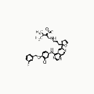 CC(C)C(CNCCCC1(c2cc3c(Nc4ccc(OCc5cccc(F)c5)c(Cl)c4)ncnc3cn2)CC=CO1)=S(=O)=O